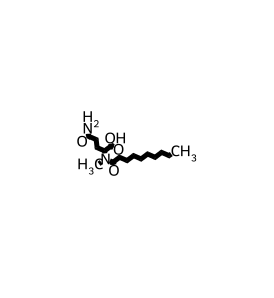 CCCCCCCCCC(=O)N(C)C(CCC(N)=O)C(=O)O